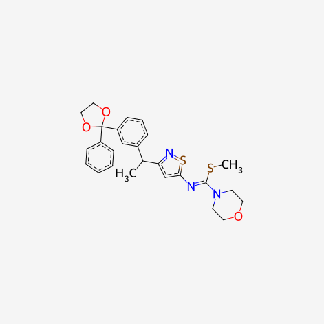 CS/C(=N\c1cc(C(C)c2cccc(C3(c4ccccc4)OCCO3)c2)ns1)N1CCOCC1